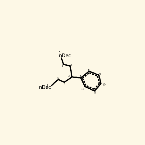 CCCCCCCCCCCC[C](CCCCCCCCCCCC)c1ccccc1